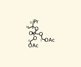 CC(=O)OCOP(=O)(OCOC(C)=O)OC(C)C(C)C